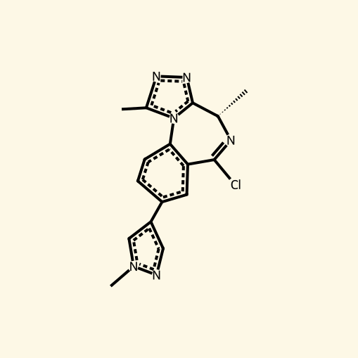 Cc1nnc2n1-c1ccc(-c3cnn(C)c3)cc1C(Cl)=N[C@H]2C